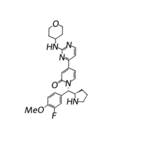 COc1ccc([C@@H]([C@H]2CCCN2)n2ccc(-c3ccnc(NC4CCOCC4)n3)cc2=O)cc1F